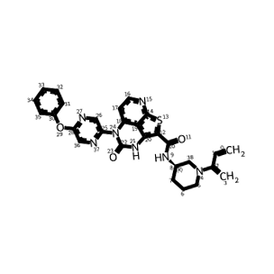 C=CC(=C)N1CCC[C@@H](NC(=O)c2sc3nccc4c3c2NC(=O)N4c2cnc(Oc3ccccc3)cn2)C1